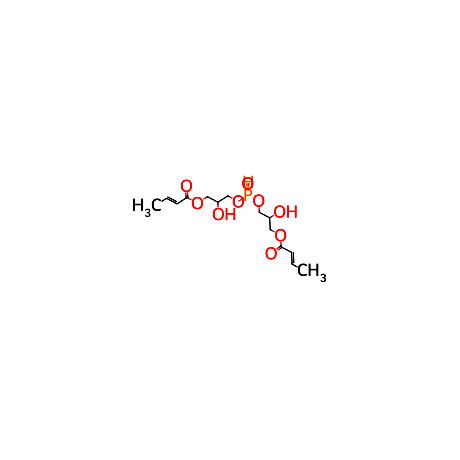 CC=CC(=O)OCC(O)CO[PH](=O)OCC(O)COC(=O)C=CC